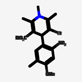 CCOC(=O)C1=C(C)N(C)C(C)=C(CC)C1c1cc(C)c(OC)cc1[N+](=O)[O-]